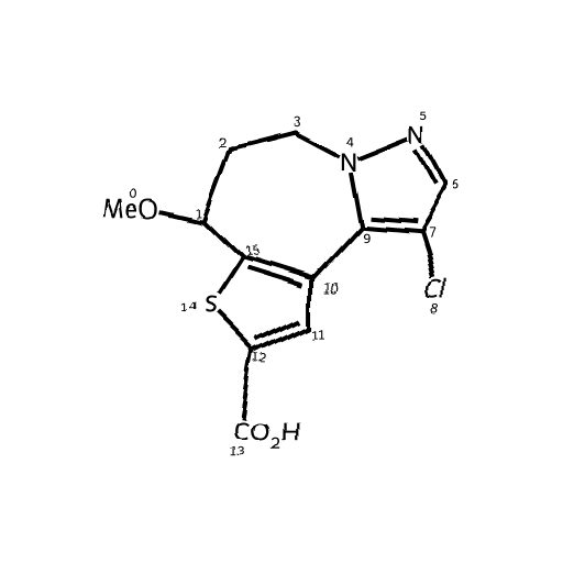 COC1CCn2ncc(Cl)c2-c2cc(C(=O)O)sc21